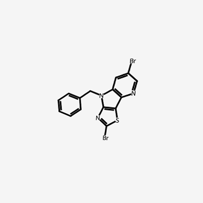 Brc1cnc2c3sc(Br)nc3n(Cc3ccccc3)c2c1